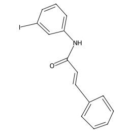 O=C(/C=C/c1ccccc1)Nc1cccc(I)c1